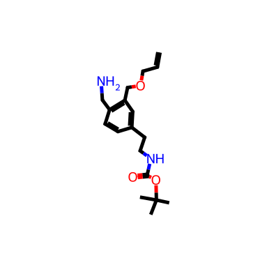 C=CCOCc1cc(CCNC(=O)OC(C)(C)C)ccc1CN